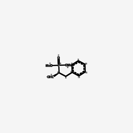 COP(=O)(OC)[C@H]([C]=O)Cc1ccccc1